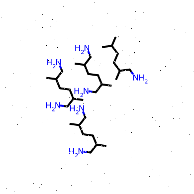 CC(CN)CCC(C)CN.CC(CN)CCC(C)CN.CC(CN)CCC(C)CN.[CH2]C(C)CCC(C)CN